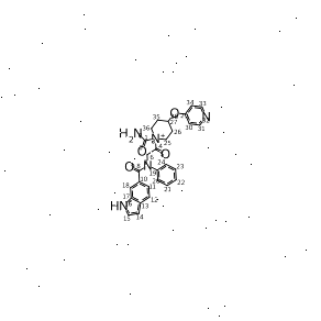 NC(=O)[N+]1(C(=O)CN(C(=O)c2ccc3cc[nH]c3c2)c2ccccc2)CCC(Oc2ccncc2)CC1